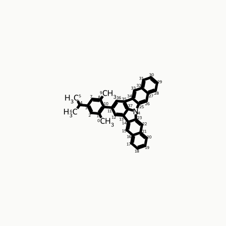 Cc1cc(C(C)C)cc(C)c1-c1cc2c3cc4ccccc4cc3n3c4cc5ccccc5cc4c(c1)c23